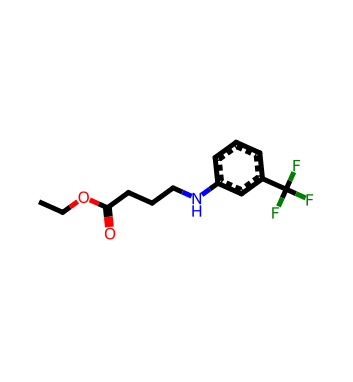 CCOC(=O)CCCNc1cccc(C(F)(F)F)c1